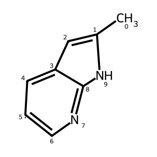 Cc1cc2c[c]cnc2[nH]1